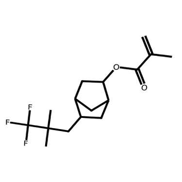 C=C(C)C(=O)OC1CC2CC1CC2CC(C)(C)C(F)(F)F